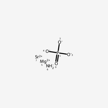 O=P([O-])([O-])[O-].[Mg+2].[NH2-].[Sr+2]